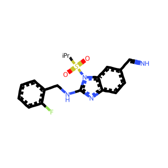 CC(C)S(=O)(=O)n1c(NCc2ccccc2F)nc2ccc(C=N)cc21